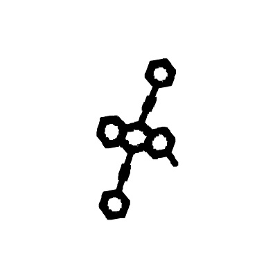 Cc1ccc2c(C#Cc3ccccc3)c3ccccc3c(C#Cc3ccccc3)c2c1